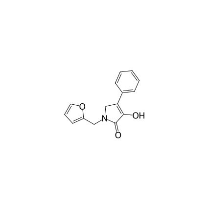 O=C1C(O)=C(c2ccccc2)CN1Cc1ccco1